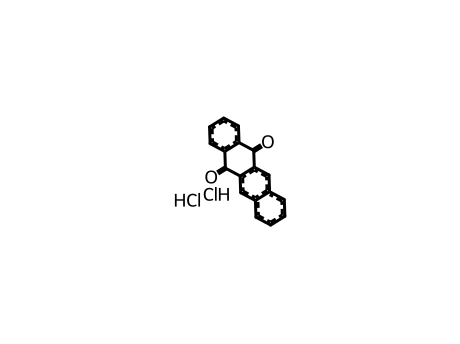 Cl.Cl.O=C1c2ccccc2C(=O)c2cc3ccccc3cc21